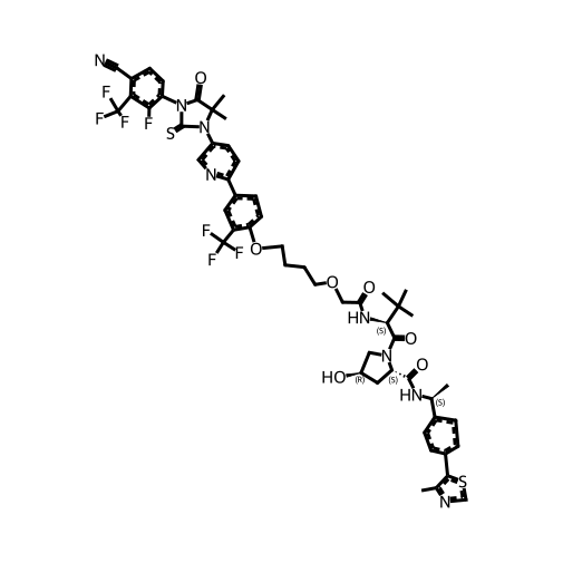 Cc1ncsc1-c1ccc([C@H](C)NC(=O)[C@@H]2C[C@@H](O)CN2C(=O)[C@@H](NC(=O)COCCCCOc2ccc(-c3ccc(N4C(=S)N(c5ccc(C#N)c(C(F)(F)F)c5F)C(=O)C4(C)C)cn3)cc2C(F)(F)F)C(C)(C)C)cc1